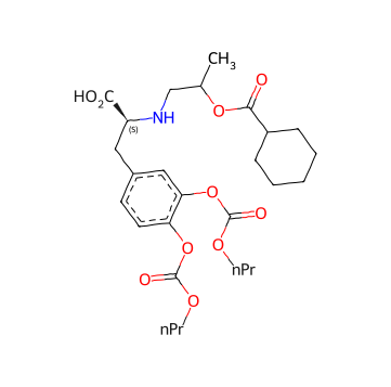 CCCOC(=O)Oc1ccc(C[C@H](NCC(C)OC(=O)C2CCCCC2)C(=O)O)cc1OC(=O)OCCC